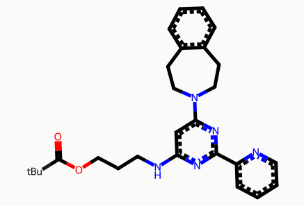 CC(C)(C)C(=O)OCCCNc1cc(N2CCc3ccccc3CC2)nc(-c2ccccn2)n1